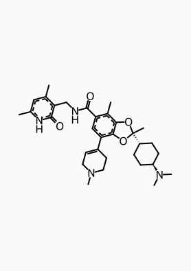 Cc1cc(C)c(CNC(=O)c2cc(C3=CCN(C)CC3)c3c(c2C)OC(C)([C@H]2CC[C@H](N(C)C)CC2)O3)c(=O)[nH]1